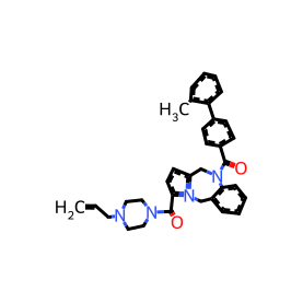 C=CCN1CCN(C(=O)c2ccc3n2Cc2ccccc2N(C(=O)c2ccc(-c4ccccc4C)cc2)C3)CC1